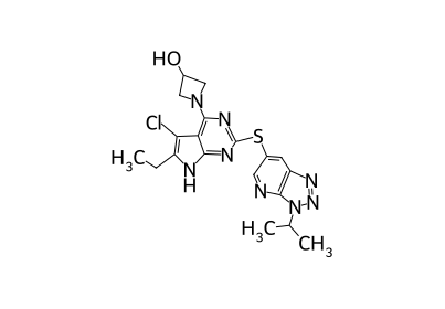 CCc1[nH]c2nc(Sc3cnc4c(c3)nnn4C(C)C)nc(N3CC(O)C3)c2c1Cl